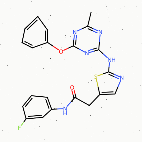 Cc1nc(Nc2ncc(CC(=O)Nc3cccc(F)c3)s2)nc(Oc2ccccc2)n1